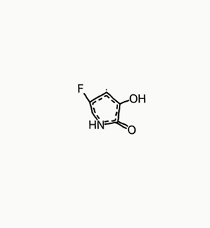 O=c1[nH]cc(F)[c]c1O